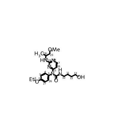 CCOc1ccc(N(C(=O)NCCCCO)c2ccnc(NC(C)COC)n2)cc1